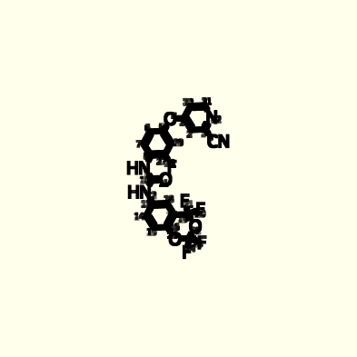 N#Cc1cc(Oc2ccc(NC(=O)Nc3ccc4c(c3)C(F)(F)OC(F)(F)O4)c(F)c2)ccn1